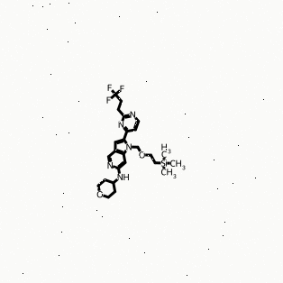 C[Si](C)(C)CCOCn1c(-c2ccnc(CCC(F)(F)F)n2)cc2cnc(NC3CCOCC3)cc21